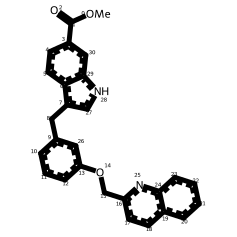 COC(=O)c1ccc2c(Cc3cccc(OCc4ccc5ccccc5n4)c3)c[nH]c2c1